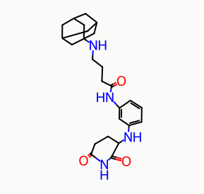 O=C1CCC(Nc2cccc(NC(=O)CCCNC34CC5CC(CC(C5)C3)C4)c2)C(=O)N1